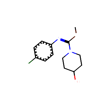 CS/C(=N/c1ccc(Cl)cc1)N1CCC(O)CC1